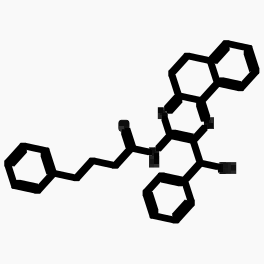 O=C(CCCc1ccccc1)Nc1nc2c(nc1C(O)c1ccccc1)-c1ccccc1CC2